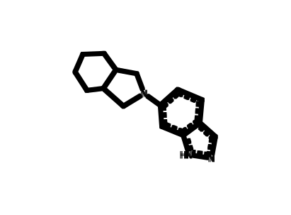 c1cc2cn[nH]c2cc1N1CC2CCCCC2C1